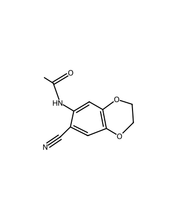 CC(=O)Nc1cc2c(cc1C#N)OCCO2